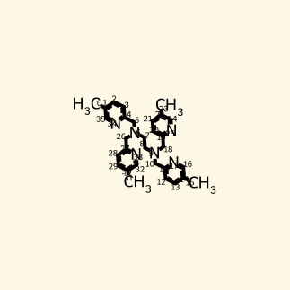 Cc1ccc(CN(CCN(Cc2ccc(C)cn2)Cc2ccc(C)cn2)Cc2ccc(C)cn2)nc1